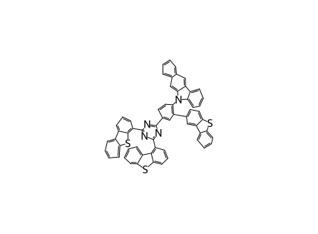 c1ccc2cc3c(cc2c1)c1ccccc1n3-c1ccc(-c2nc(-c3cccc4c3sc3ccccc34)nc(-c3cccc4sc5ccccc5c34)n2)cc1-c1ccc2sc3ccccc3c2c1